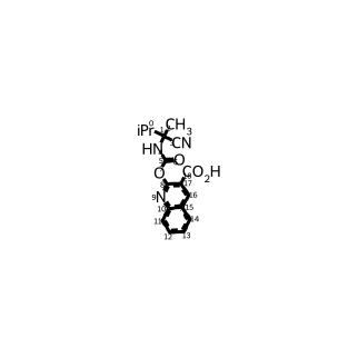 CC(C)C(C)(C#N)NC(=O)Oc1nc2ccccc2cc1C(=O)O